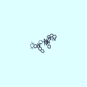 CC1(C)CCC(C)(C)c2cc3c(cc21)c1cc2ccccc2cc1n3C1=CC(c2nc(-c3ccccc3)nc(-c3ccc4ccc5cccnc5c4n3)n2)=CCC1